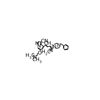 C=N/C(=C\C=C(/C)c1cc(OCCN(C)C)cn2ncc(C#N)c12)N1CCN(Cc2ccccc2)CC1